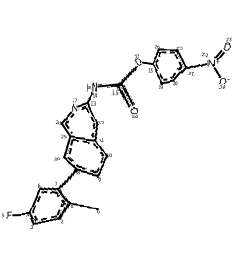 Cc1ccc(F)cc1-c1ccc2cc(NC(=O)Oc3ccc([N+](=O)[O-])cc3)ncc2c1